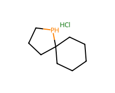 C1CCC2(CC1)CCCP2.Cl